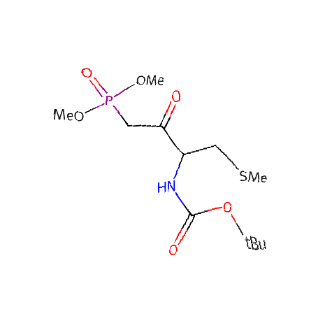 COP(=O)(CC(=O)C(CSC)NC(=O)OC(C)(C)C)OC